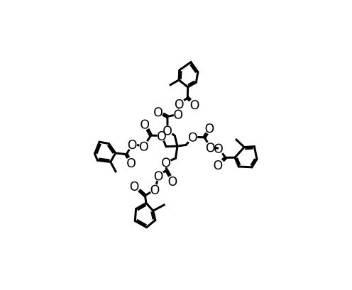 Cc1ccccc1C(=O)OOC(=O)OCC(COC(=O)OOC(=O)c1ccccc1C)(COC(=O)OOC(=O)c1ccccc1C)COC(=O)OOC(=O)c1ccccc1C